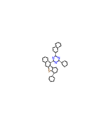 c1ccc(-c2nc(-c3ccc4ccccc4c3)nc(-c3c4ccccc4cc4sc5c(-c6ccccc6)cccc5c34)n2)cc1